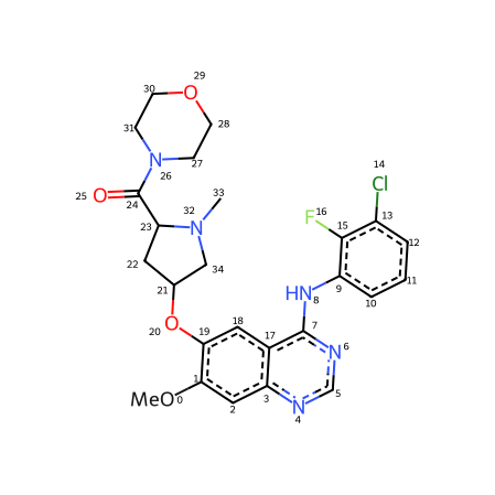 COc1cc2ncnc(Nc3cccc(Cl)c3F)c2cc1OC1CC(C(=O)N2CCOCC2)N(C)C1